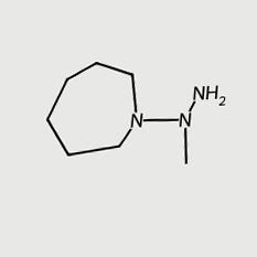 CN(N)N1CCCCCC1